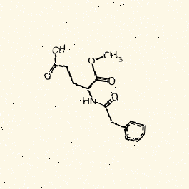 COC(=O)C(CCC(=O)O)NC(=O)Cc1ccccc1